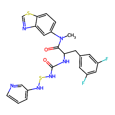 CN(C(=O)C(Cc1cc(F)cc(F)c1)NC(=O)NSNc1cccnc1)c1ccc2scnc2c1